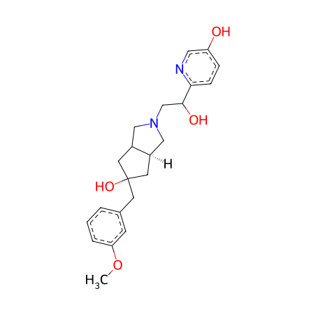 COc1cccc(CC2(O)CC3CN(CC(O)c4ccc(O)cn4)C[C@H]3C2)c1